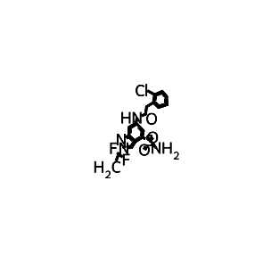 C=CC(F)(F)n1cc2c(S(N)(=O)=O)cc(NC(=O)Cc3ccccc3Cl)cc2n1